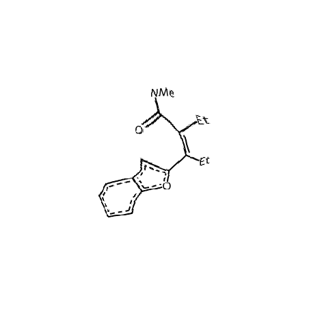 CCC(C(=O)NC)=C(CC)c1cc2ccccc2o1